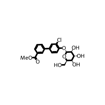 COC(=O)c1cccc(-c2ccc(O[C@H]3O[C@H](CO)[C@@H](O)[C@@H](O)[C@H]3O)c(Cl)c2)c1